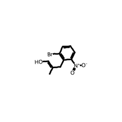 CC(=CO)Cc1c(Br)cccc1[N+](=O)[O-]